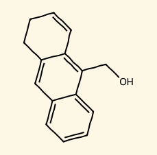 OCc1c2c(cc3ccccc13)CCC=C2